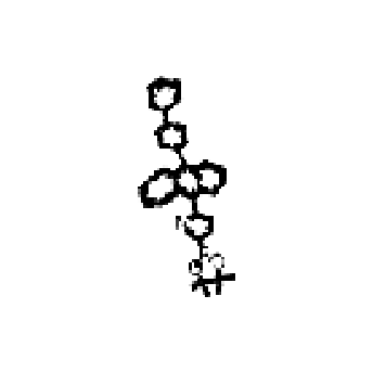 CC1(C)OB(c2ccc(-c3c4ccccc4c(-c4ccc(-c5ccccc5)cc4)c4ccccc34)nc2)OC1(C)C